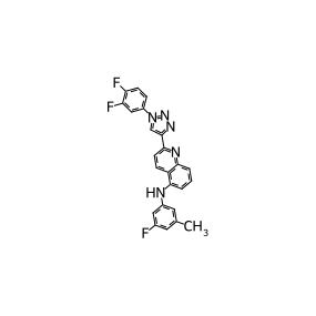 Cc1cc(F)cc(Nc2cccc3nc(-c4cn(-c5ccc(F)c(F)c5)nn4)ccc23)c1